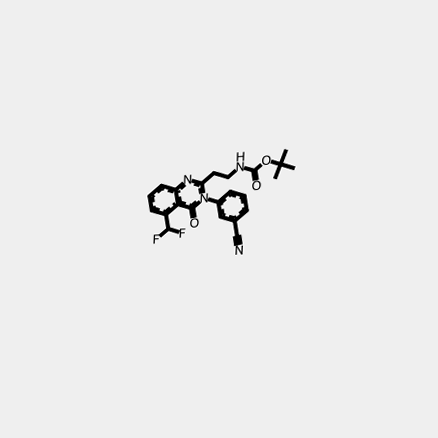 CC(C)(C)OC(=O)NCCc1nc2cccc(C(F)F)c2c(=O)n1-c1cccc(C#N)c1